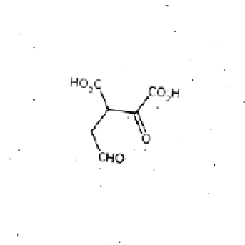 O=[C]CC(C(=O)O)C(=O)C(=O)O